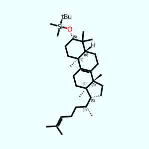 CC(C)=CCC[C@@H](C)[C@H]1CC[C@@]2(C)C3=C(CC[C@]12C)[C@@]1(C)CC[C@H](O[Si](C)(C)C(C)(C)C)C(C)(C)[C@@H]1CC3